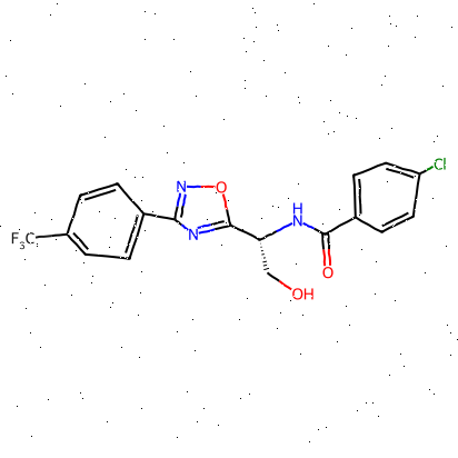 O=C(N[C@H](CO)c1nc(-c2ccc(C(F)(F)F)cc2)no1)c1ccc(Cl)cc1